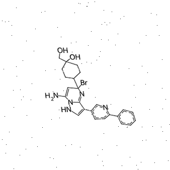 NC1=CC(Br)(C2CCC(O)(CO)CC2)N=C2C(c3ccc(-c4ccccc4)nc3)=CNN12